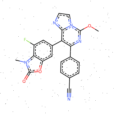 COc1nc(-c2ccc(C#N)cc2)c(-c2cc(F)c3c(c2)oc(=O)n3C)c2nccn12